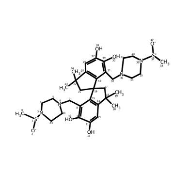 C[S+]([O-])N1CCN(Cc2c(O)c(O)cc3c2C2(CC3(C)C)CC(C)(C)c3cc(O)c(O)c(CN4CCN([S+](C)[O-])CC4)c32)CC1